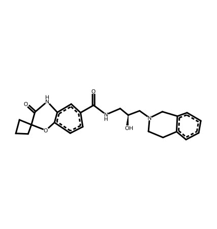 O=C(NC[C@H](O)CN1CCc2ccccc2C1)c1ccc2c(c1)NC(=O)C1(CCC1)O2